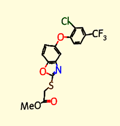 COC(=O)CSc1nc2cc(Oc3ccc(C(F)(F)F)cc3Cl)ccc2o1